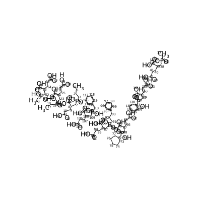 CCCCP(=O)(O)CC(CCC(=O)O)C(=O)O.CCCP(=O)(O)CC(CCC(=O)O)C(=O)O.CCP(=O)(O)CC(CCC(=O)O)C(=O)O.CP(=O)(O)CC(CCC(=O)O)C(=O)O.O=C(O)CCC(CP(=O)(O)C1CCCCC1)C(=O)O.O=C(O)CCC(CP(=O)(O)CCCc1ccccc1)C(=O)O.O=C(O)CCC(CP(=O)(O)Cc1ccccc1)C(=O)O.O=C(O)CCC(CP(=O)(O)c1ccccc1)C(=O)O